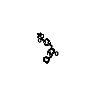 CC(C)(C)OC(=O)N1CCN(Cc2cnn(Cc3ccccc3)c(=O)c2)CC1